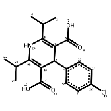 CC(C)C1=C(C(=O)O)C(c2ccc(Cl)cc2)C(C(=O)O)=C(C(C)C)N1